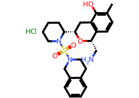 Cc1ccc2c(c1O)C[C@@H](C1CCCCN1S(=O)(=O)N1CCc3ccccc3C1)O[C@H]2CN.Cl